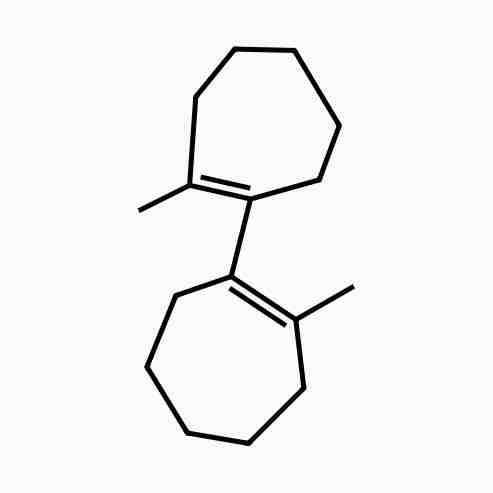 CC1=C(C2=C(C)CCCCC2)CCCCC1